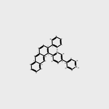 c1ccc(-c2ccc3cc4ccccc4cc3c2-c2ccc(-c3ccncc3)cn2)cc1